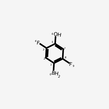 Bc1cc(F)c(O)cc1F